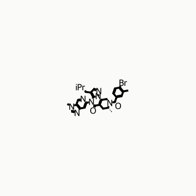 Cc1cc(C(=O)N2Cc3c(c(=O)n(-c4cc5ncn(C)c5cn4)c4c(CC(C)C)cnn34)C[C@H]2C)ccc1Br